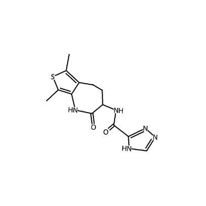 Cc1sc(C)c2c1CCC(NC(=O)c1nnc[nH]1)C(=O)N2